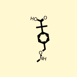 CNOCc1ccc(C(C)(C)C(=O)O)cc1